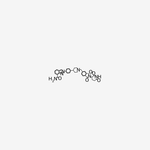 NC(=O)c1cccc2cn(-c3ccc(C4CCN(Cc5ccc6c(c5)C(=O)N(C5CCC(=O)NC5=O)C6=O)CC4)cc3)nc12